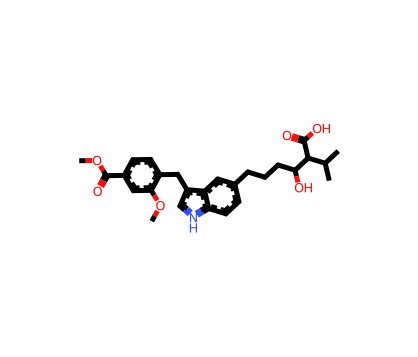 COC(=O)c1ccc(Cc2c[nH]c3ccc(CCCC(O)C(C(=O)O)C(C)C)cc23)c(OC)c1